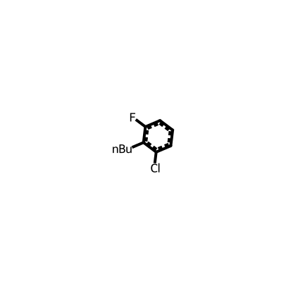 [CH2]CCCc1c(F)cccc1Cl